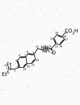 CCN(CC)Cc1ccc2cc(CNNC(=O)c3ccc(C(=O)O)cc3)ccc2c1